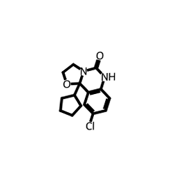 O=C1Nc2ccc(Cl)cc2C2(C3CCCC3)OCCN12